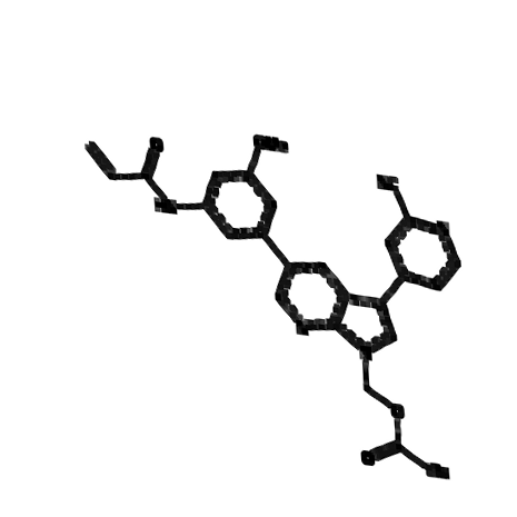 C=CC(=O)Nc1cc(OC)cc(-c2cnc3c(c2)c(-c2ccnc(C#N)c2)cn3COC(=O)C(C)(C)C)c1